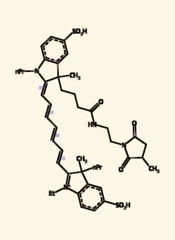 CCCN1/C(=C/C=C/C=C/C=C/C2=[N+](CC)c3ccc(S(=O)(=O)O)cc3C2(C)CCC)C(C)(CCCC(=O)NCCN2C(=O)CC(C)C2=O)c2cc(S(=O)(=O)O)ccc21